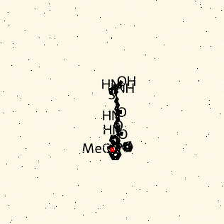 COC(=O)c1ccc(C(=O)NOCCNC(=O)CCCC[C@H]2SCC3NC(O)NC32)cc1P(c1ccccc1)c1ccccc1